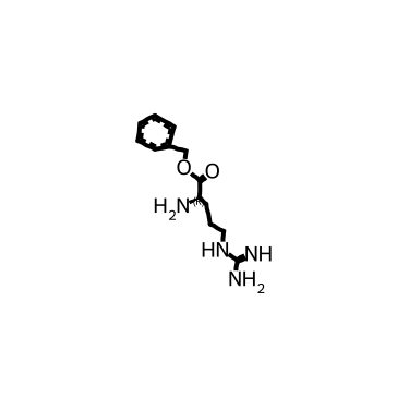 N=C(N)NCCC[C@@H](N)C(=O)OCc1ccccc1